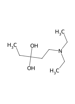 CCN(CC)CCC(O)(O)CC